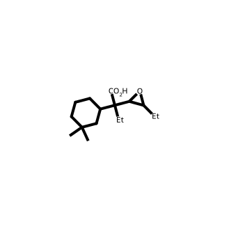 CCC1OC1C(CC)(C(=O)O)C1CCCC(C)(C)C1